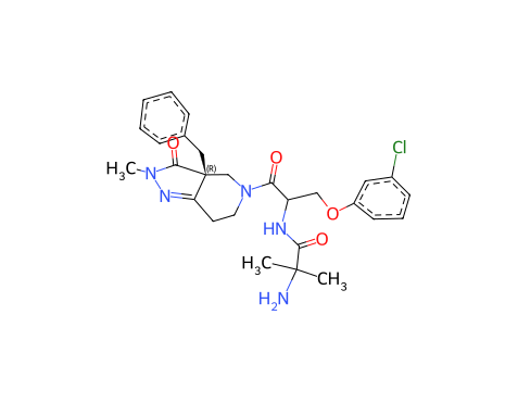 CN1N=C2CCN(C(=O)C(COc3cccc(Cl)c3)NC(=O)C(C)(C)N)C[C@@]2(Cc2ccccc2)C1=O